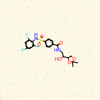 CC1(C)OCC(C(O)CNC(=O)c2ccc(S(=O)(=O)Nc3c(F)cc(F)cc3F)cc2)O1